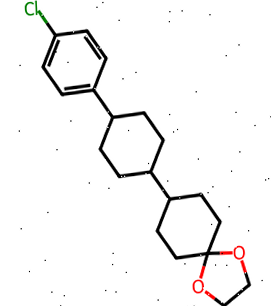 Clc1ccc(C2CCC(C3CCC4(CC3)OCCO4)CC2)cc1